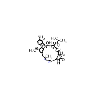 COc1cc2cc(c1-c1ccc(N)cc1)N(C)C(O)CC(OC(=O)C(C)C)[C@]1(C)C[C@](C)(O1)[C@@H]1CC(C/C=C/C=C(\C)C2)NC(=O)O1